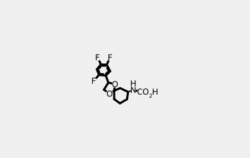 O=C(O)N[C@H]1CCCC2(C1)OCC(c1cc(F)c(F)cc1F)O2